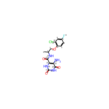 CC(COc1ccc(F)cc1Cl)NC(=O)c1[nH]c(=O)[nH]c(=O)c1N